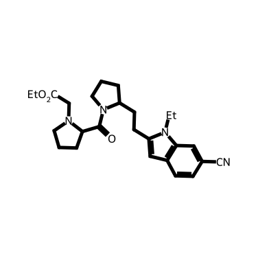 CCOC(=O)CN1CCCC1C(=O)N1CCCC1CCc1cc2ccc(C#N)cc2n1CC